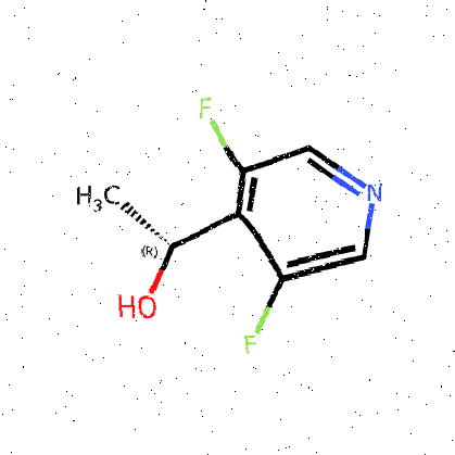 C[C@@H](O)c1c(F)cncc1F